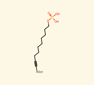 CCCCCCCCC#CCCCCCCCCOP(=O)(O)O